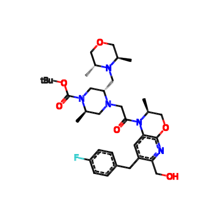 C[C@@H]1CN(CC(=O)N2c3cc(Cc4ccc(F)cc4)c(CO)nc3OC[C@@H]2C)[C@@H](CN2[C@H](C)COC[C@H]2C)CN1C(=O)OC(C)(C)C